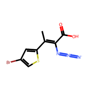 C/C(=C(/N=[N+]=[N-])C(=O)O)c1cc(Br)cs1